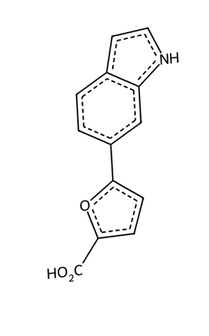 O=C(O)c1ccc(-c2ccc3cc[nH]c3c2)o1